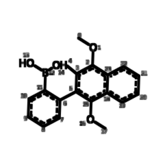 COc1c(C)c(-c2ccccc2B(O)O)c(OC)c2ccccc12